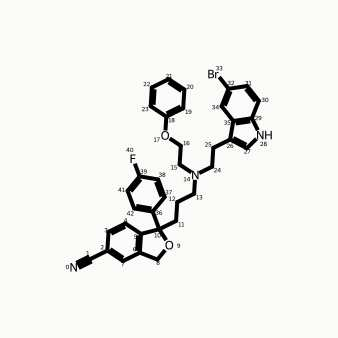 N#Cc1ccc2c(c1)COC2(CCCN(CCOc1ccccc1)CCc1c[nH]c2ccc(Br)cc12)c1ccc(F)cc1